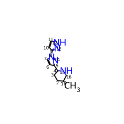 CC1CCC(c2ccn(-c3cc[nH]n3)n2)NC1